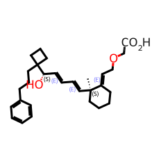 C[C@@]1(/C=C/C=C/[C@H](O)C2(CCCc3ccccc3)CCC2)CCCC/C1=C\COCC(=O)O